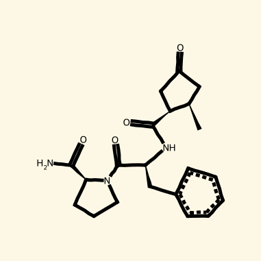 C[C@@H]1CC(=O)C[C@@H]1C(=O)N[C@@H](Cc1ccccc1)C(=O)N1CCC[C@H]1C(N)=O